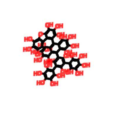 Oc1c(O)c(O)c(-c2c(O)c(-c3c(O)c(O)c(O)c(O)c3O)c(O)c(-c3c4c(O)c(O)c(O)c(O)c4c(-c4c(O)c(O)c(O)c5oc6c(O)c(O)c(O)c(O)c6c45)c4c(O)c(O)c(O)c(O)c34)c2O)c(O)c1O